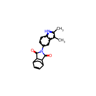 Cc1[nH]c2ccc(N3C(=O)C4C5C=CC(CC5)C4C3=O)cc2c1C